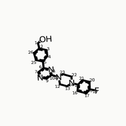 OCc1ccc(-c2cncc(N3CCN(c4ccc(F)cc4)CC3)n2)cc1